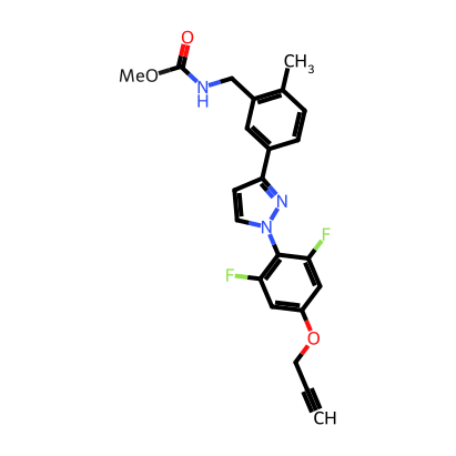 C#CCOc1cc(F)c(-n2ccc(-c3ccc(C)c(CNC(=O)OC)c3)n2)c(F)c1